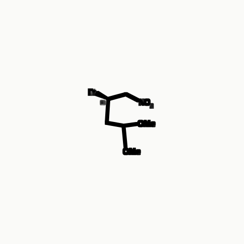 CC[C@H](CC(OC)OC)C[N+](=O)[O-]